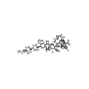 C=Cc1cc(Nc2ncc(Br)c(Nc3ccc4nccnc4c3N(C)S(=O)(=O)C3CC3)n2)c(OC(F)(F)F)cc1N1CCC(N2CCN(C)CC2)CC1